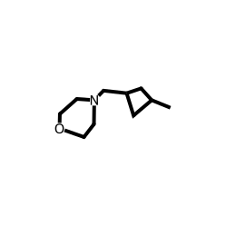 CC1CC(CN2CCOCC2)C1